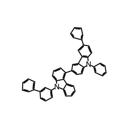 c1ccc(-c2cccc(-n3c4ccccc4c4c(-c5ccc6c(c5)c5cc(-c7ccccc7)ccc5n6-c5ccccc5)cccc43)c2)cc1